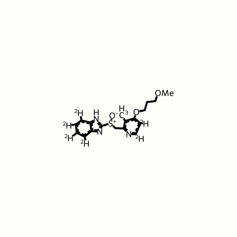 [2H]c1nc(C[S+]([O-])c2nc3c([2H])c([2H])c([2H])c([2H])c3[nH]2)c(C)c(OCCCOC)c1[2H]